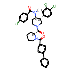 CN(C(=O)c1ccc(Cl)cc1)[C@@H]1CCN(C(=O)[C@H]2CCCCN2C(=O)c2ccc(-c3ccccc3)cc2)C[C@H]1c1ccc(Cl)c(Cl)c1